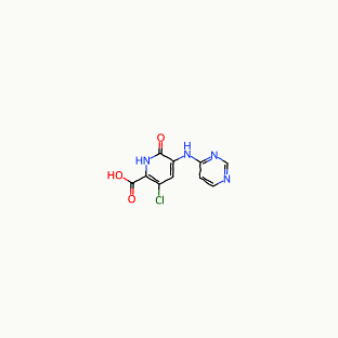 O=C(O)c1[nH]c(=O)c(Nc2ccncn2)cc1Cl